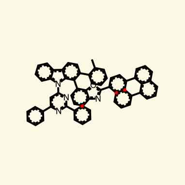 Cc1ccccc1-c1ccc2c3ccccc3n(-c3cc(-c4ccccc4)nc(-c4ccccc4)n3)c2c1-c1cccc2nc(-c3ccc(-c4cccc5cccc(-c6ccccc6)c45)cc3)oc12